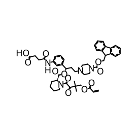 C=CC(=O)OCC(C)(C)C(=O)C(=O)N1CCCC[C@H]1C(=O)OC(CCN1CCN(C(=O)OCC2c3ccccc3-c3ccccc32)CC1)c1cccc(NC(=O)CCC(=O)O)c1